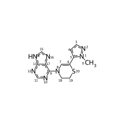 Cn1nccc1C1=CN(c2ncnc3[nH]cnc23)CCS1